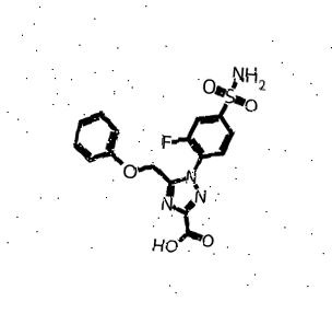 NS(=O)(=O)c1ccc(-n2nc(C(=O)O)nc2COc2ccccc2)c(F)c1